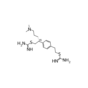 CN(C)CCC[C@@H](CSC(=N)N)c1ccc(CCSC(=N)N)cc1